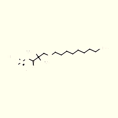 CCCCCCCCCCCCCCCCCCOCC(OC)(OC)C(O)OP(=O)(O)C(=O)O